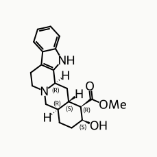 COC(=O)[C@@H]1[C@H]2C[C@@H]3c4[nH]c5ccccc5c4CCN3C[C@@H]2CC[C@@H]1O